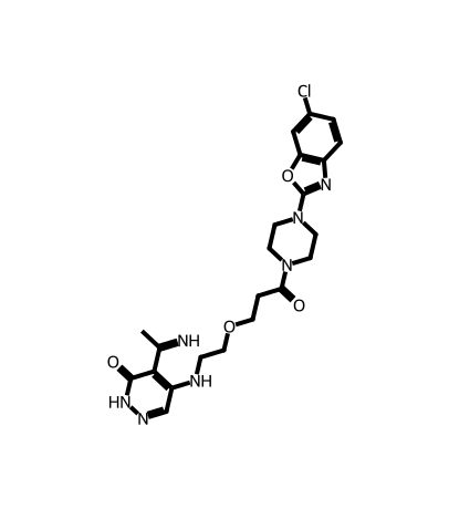 CC(=N)c1c(NCCOCCC(=O)N2CCN(c3nc4ccc(Cl)cc4o3)CC2)cn[nH]c1=O